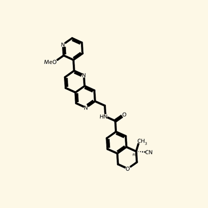 COc1ncccc1-c1ccc2cnc(CNC(=O)c3ccc4c(c3)[C@](C)(C#N)COC4)cc2n1